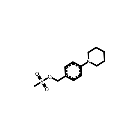 CS(=O)(=O)OCc1ccc(N2CCCCC2)cc1